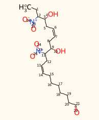 CCC(C(O)C/C=C\CC(O)C(C/C=C\CCCCCC[C]=O)[N+](=O)[O-])[N+](=O)[O-]